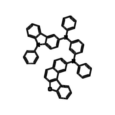 c1ccc(N(c2cccc(N(c3ccccc3)c3ccc4c(c3)c3ccccc3n4-c3ccccc3)c2)c2ccc3ccc4oc5ccccc5c4c3c2)cc1